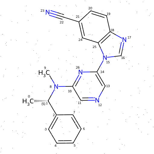 C[C@@H](c1ccccc1)N(C)c1cncc(-n2cnc3ccc(C#N)cc32)n1